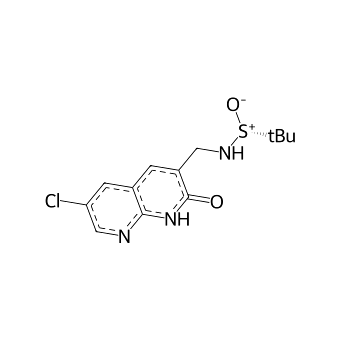 CC(C)(C)[S@@+]([O-])NCc1cc2cc(Cl)cnc2[nH]c1=O